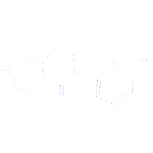 Clc1cccc(C2CCc3ccccc3N2)c1